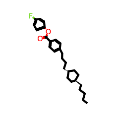 CCCCC[C@H]1CC[C@H](CCCCc2ccc(C(=O)Oc3ccc(F)cc3)cc2)CC1